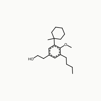 CCCCc1cc(CCO)cc(C2(C)CCCCC2)c1OC